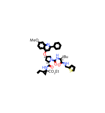 C=CC1C[C@]1(NC(=O)[C@@H]1C[C@@H](Oc2cc(-c3ccccc3)nc3cc(OC)ccc23)CN1C(=O)N[C@H](C(=O)NCc1cccs1)C(C)(C)C)C(=O)OCC